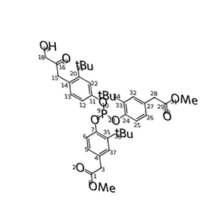 COC(=O)Cc1ccc(OP(Oc2ccc(CC(=O)CO)c(C(C)(C)C)c2)Oc2ccc(CC(=O)OC)cc2C(C)(C)C)c(C(C)(C)C)c1